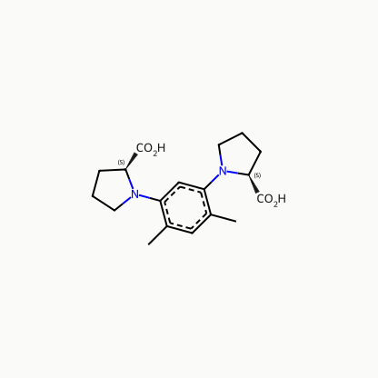 Cc1cc(C)c(N2CCC[C@H]2C(=O)O)cc1N1CCC[C@H]1C(=O)O